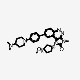 CO[C@@H]1CC[C@@H](n2c(=O)n(C)c3nnc4ccc(-c5ccc(N6CCC(N(C)C)CC6)cc5)cc4c32)C1